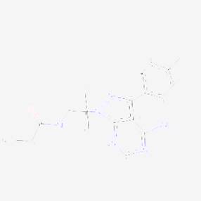 Cc1ccc(-c2nn(C(C)(C)CNC(=O)CC#N)c3ncnc(N)c23)cc1